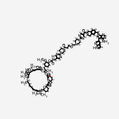 CO[C@H]1C[C@@H]2CCC[C@@](O)(O2)C(=O)C(=O)N2CCCC[C@H]2C(=O)O[C@H]([C@H](C)C[C@@H]2CC[C@@H](OC(=O)NCc3cnc(N4CCN(C(=O)CCOCCN5CCN(c6ncc(C(=O)N7CCc8cc(Cn9nc(-c%10cnc%11[nH]ccc%11c%10)c%10c(N)ncnc%109)ccc8C7)cn6)CC5)CC4)nc3)[C@H](OC)C2)CC(=O)[C@H](C)/C=C(\C)[C@@H](O)[C@@H](OC)C(=O)[C@H](C)C[C@H](C)/C=C/C=C/C=C/1C